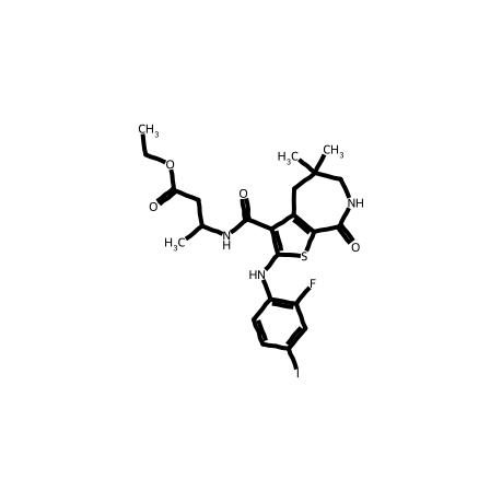 CCOC(=O)CC(C)NC(=O)c1c(Nc2ccc(I)cc2F)sc2c1CC(C)(C)CNC2=O